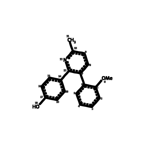 COc1ccccc1-c1ccc(C)nc1-c1ccc(O)cc1